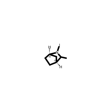 CC1[C@H]2CC[C@H](C2)N1I